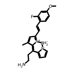 COc1ccc(/C=C/C2=[N+]3[BH2-]n4cccc4C(CCN)=C3C(C)=C2)c(F)c1